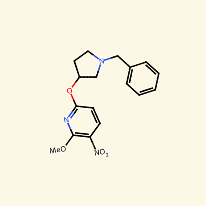 COc1nc(OC2CCN(Cc3ccccc3)C2)ccc1[N+](=O)[O-]